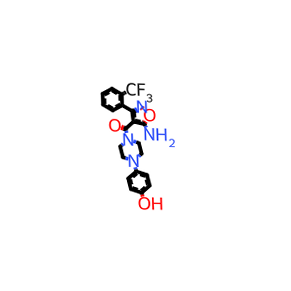 Nc1onc(-c2ccccc2C(F)(F)F)c1C(=O)N1CCN(c2ccc(O)cc2)CC1